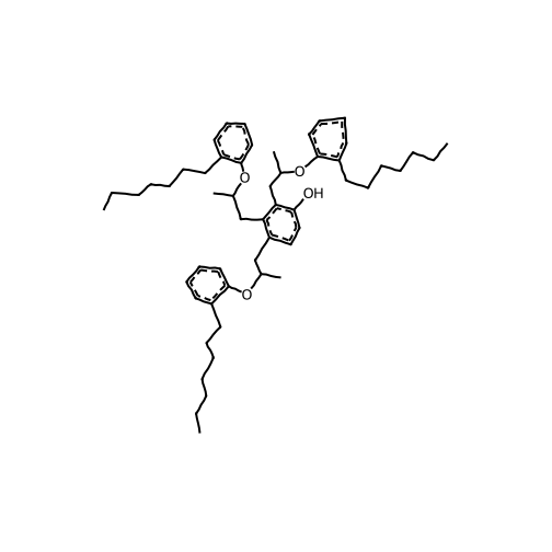 CCCCCCCc1ccccc1OC(C)Cc1ccc(O)c(CC(C)Oc2ccccc2CCCCCCC)c1CC(C)Oc1ccccc1CCCCCCC